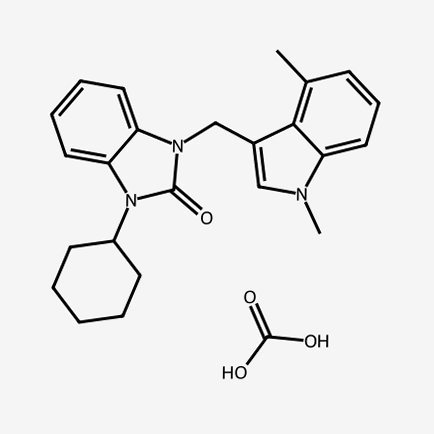 Cc1cccc2c1c(Cn1c(=O)n(C3CCCCC3)c3ccccc31)cn2C.O=C(O)O